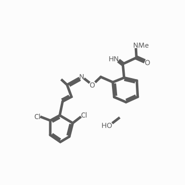 CNC(=O)C(=N)c1ccccc1CON=C(C)/C=C/c1c(Cl)cccc1Cl.CO